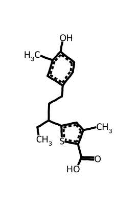 CCC(CCc1ccc(O)c(C)c1)c1cc(C)c(C(=O)O)s1